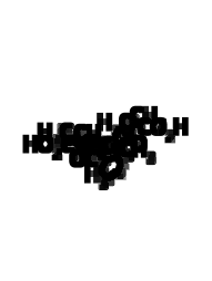 CC(C)(C(=O)O)C(=O)OC(C)(C)C1CC=CCC1C(C)(C)OC(=O)C(C)(C)C(=O)O